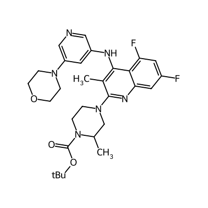 Cc1c(N2CCN(C(=O)OC(C)(C)C)C(C)C2)nc2cc(F)cc(F)c2c1Nc1cncc(N2CCOCC2)c1